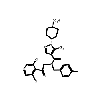 O=C(CN(Cc1ccc(F)cc1)C(=O)c1cnn([C@H]2CC[C@H](C(=O)O)CC2)c1C(F)(F)F)c1c(Cl)cncc1Cl